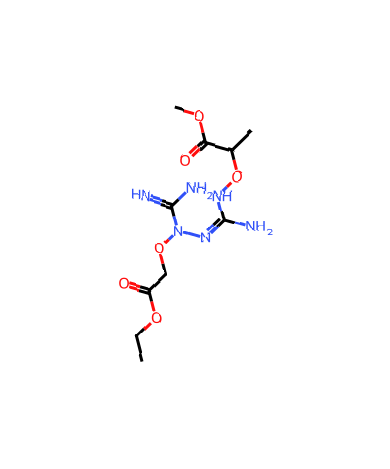 CCOC(=O)CON(N=C(N)NOC(C)C(=O)OC)C(=N)N